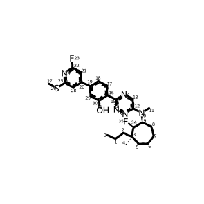 CCC[C@]1(C)CCCC[C@H](N(C)c2cnc(-c3ccc(-c4cc(F)nc(SC)c4)cc3O)nn2)[C@@H]1F